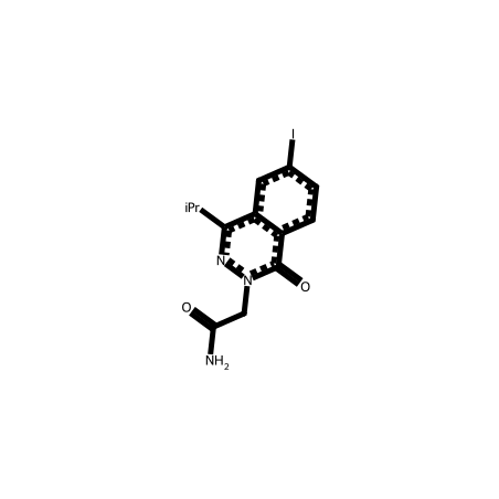 CC(C)c1nn(CC(N)=O)c(=O)c2ccc(I)cc12